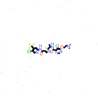 CC(NC(=O)c1ncnc(OCCN(C)C)c1Cl)c1ncc(C(=O)Nc2cc(C(F)(F)F)c(Cl)cn2)s1